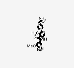 COc1cc(-c2[nH]c3cnc(N4CCN(CC(N)=O)CC4)c(C)c3c2C(C)C)cn2ncnc12